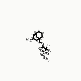 CNS(=O)(=O)C(F)(F)C(=O)OCC12CCCC(=CC(C)C1)C2